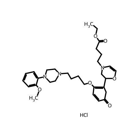 CCOC(=O)CCCN1C=COC(C2=C(OCCCCN3CCN(c4ccccc4OC)CC3)C=CC(=O)C2)C1.Cl